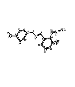 COc1ccc(C/N=C/c2cncc(Br)c2N=[N+]=[N-])cc1